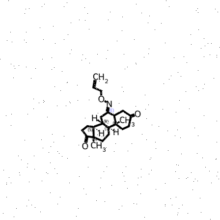 C=CCO/N=C1\C[C@@H]2[C@H](CC[C@]3(C)C(=O)CC[C@@H]23)[C@@]2(C)CCC(=O)CC12